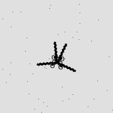 CCCCCCCCCC(=O)OCC(COC(=O)CCCCCCCCC)(COC(=O)CCCCCCCCC)COC(=O)CCCCCCCCC